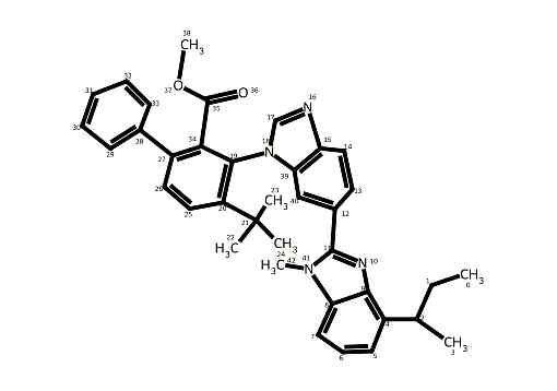 CCC(C)c1cccc2c1nc(-c1ccc3ncn(-c4c(C(C)(C)C)ccc(-c5ccccc5)c4C(=O)OC)c3c1)n2C